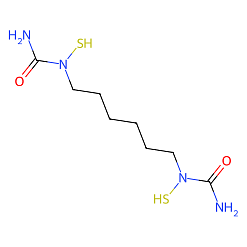 NC(=O)N(S)CCCCCCN(S)C(N)=O